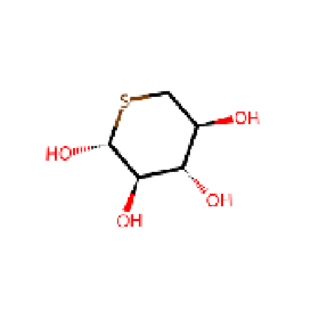 O[C@@H]1[C@@H](O)[C@H](O)SC[C@H]1O